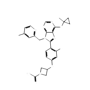 Cc1ccnc(Cn2c(-c3ccc(OC4CN(C(N)=O)C4)cc3Cl)nc3c(OC4(C)CC4)ncnc32)c1